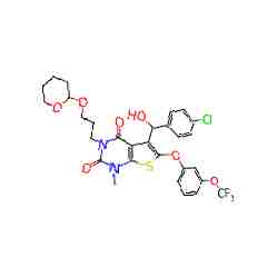 Cn1c(=O)n(CCCOC2CCCCO2)c(=O)c2c(C(O)c3ccc(Cl)cc3)c(Oc3cccc(OC(F)(F)F)c3)sc21